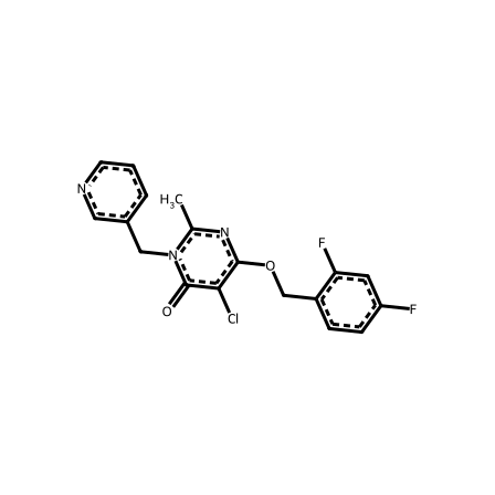 Cc1nc(OCc2ccc(F)cc2F)c(Cl)c(=O)n1Cc1cccnc1